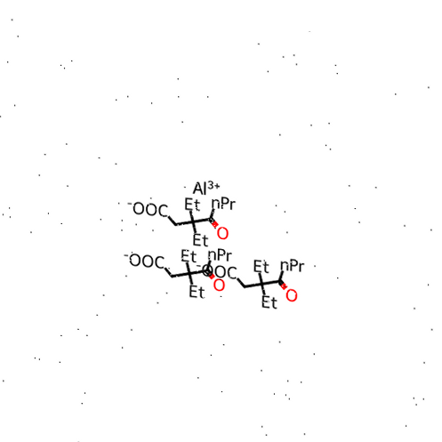 CCCC(=O)C(CC)(CC)CC(=O)[O-].CCCC(=O)C(CC)(CC)CC(=O)[O-].CCCC(=O)C(CC)(CC)CC(=O)[O-].[Al+3]